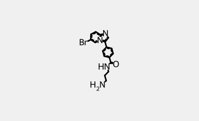 NCCCNC(=O)c1ccc(-c2cnc3ccc(Br)cn23)cc1